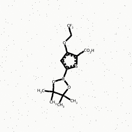 CC1(C)OB(c2cc(OCC(F)(F)F)c(C(=O)O)s2)OC1(C)C